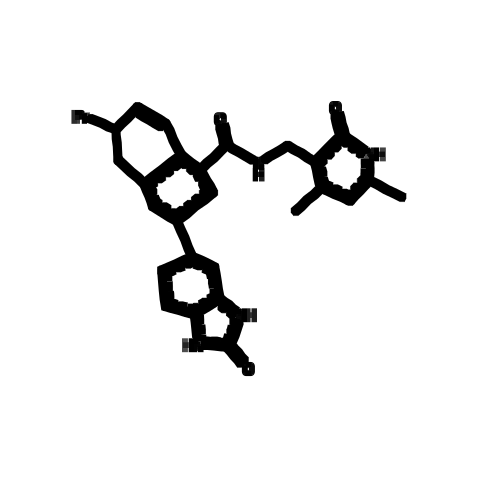 Cc1cc(C)c(CNC(=O)c2cc(-c3ccc4[nH]c(=O)[nH]c4c3)cc3c2C=CC(C(C)C)C3)c(=O)[nH]1